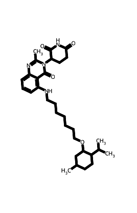 Cc1nc2cccc(NCCCCCCCOC3CC(C)CCC3C(C)C)c2c(=O)n1C1CCC(=O)NC1=O